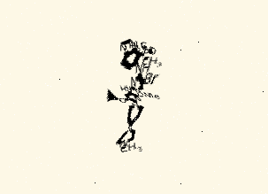 COc1nc(N2CCC(N3CCN(C)CC3)CC2)c(OC2CC2)cc1Nc1ncc(Br)c(Nc2ccc3nccnc3c2P(C)(C)=O)n1